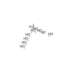 Cl.Cl.Cl.Cl.Cl.Cl.Cl.Cl.P.P